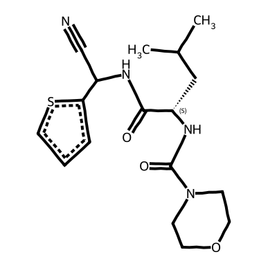 CC(C)C[C@H](NC(=O)N1CCOCC1)C(=O)NC(C#N)c1cccs1